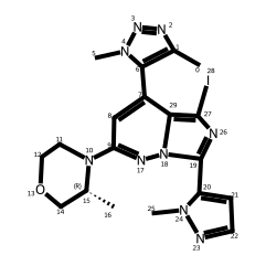 Cc1nnn(C)c1-c1cc(N2CCOC[C@H]2C)nn2c(-c3ccnn3C)nc(I)c12